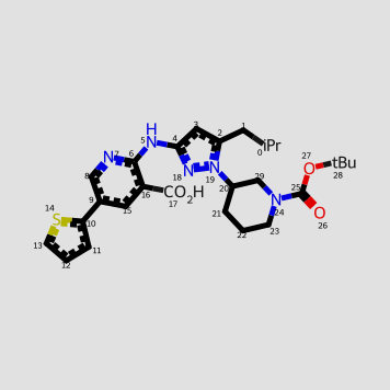 CC(C)Cc1cc(Nc2ncc(-c3cccs3)cc2C(=O)O)nn1C1CCCN(C(=O)OC(C)(C)C)C1